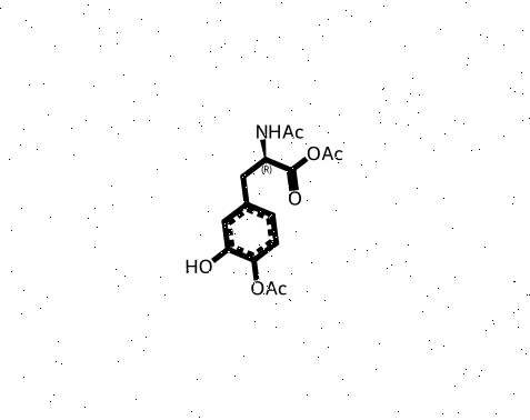 CC(=O)N[C@H](Cc1ccc(OC(C)=O)c(O)c1)C(=O)OC(C)=O